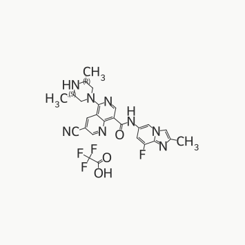 Cc1cn2cc(NC(=O)c3cnc(N4C[C@@H](C)N[C@@H](C)C4)c4cc(C#N)cnc34)cc(F)c2n1.O=C(O)C(F)(F)F